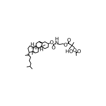 CC(=O)OCC(C)(CO)C(=O)OCCNC(=O)OC1CC[C@@]2(C)C(=CC[C@]3(C)[C@@H]2CC[C@]2(C)C([C@H](C)CCCC(C)C)CC[C@@H]32)C1